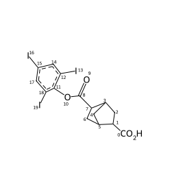 O=C(O)C1CC2CC1CC2C(=O)Oc1c(I)cc(I)cc1I